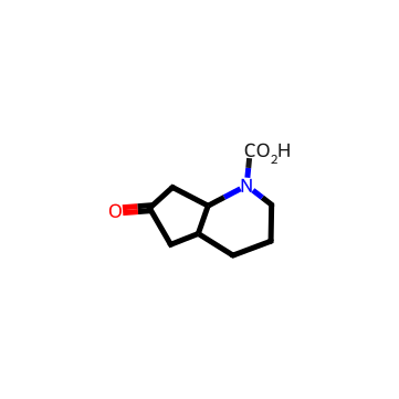 O=C1CC2CCCN(C(=O)O)C2C1